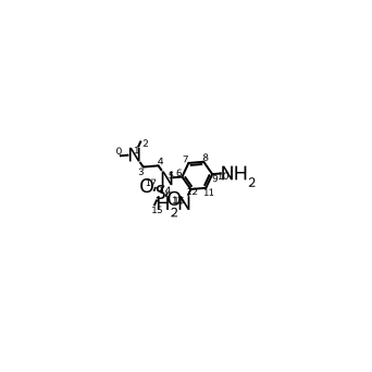 CN(C)CCN(c1ccc(N)cc1N)S(C)(=O)=O